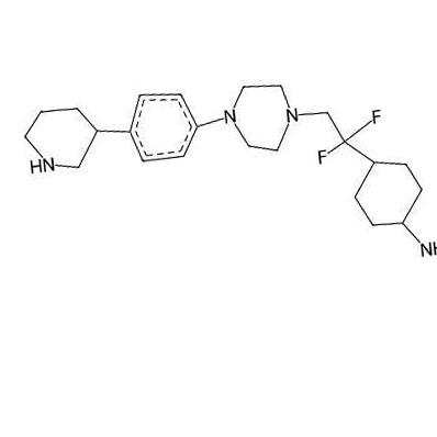 NC1CCC(C(F)(F)CN2CCN(c3ccc(C4CCCNC4)cc3)CC2)CC1